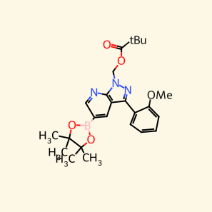 COc1ccccc1-c1nn(COC(=O)C(C)(C)C)c2ncc(B3OC(C)(C)C(C)(C)O3)cc12